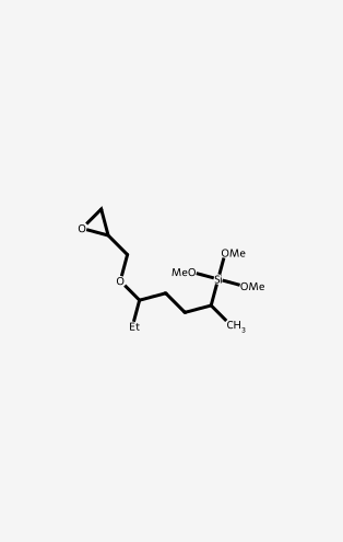 CCC(CCC(C)[Si](OC)(OC)OC)OCC1CO1